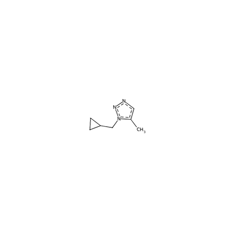 Cc1cnnn1CC1CC1